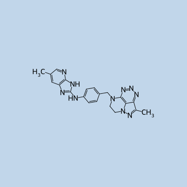 Cc1cnc2[nH]c(Nc3ccc(CN4CCn5nc(C)c6nnnc4c65)cc3)nc2c1